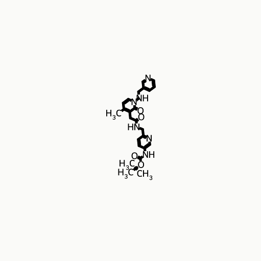 Cc1ccn(NCc2cccnc2)c(=O)c1CC(=O)NCc1ccc(NC(=O)OC(C)(C)C)cn1